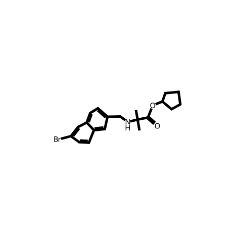 CC(C)(NCc1ccc2cc(Br)ccc2c1)C(=O)OC1CCCC1